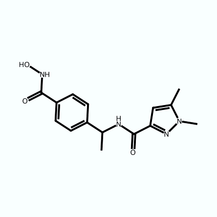 Cc1cc(C(=O)NC(C)c2ccc(C(=O)NO)cc2)nn1C